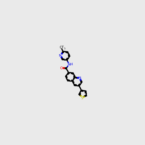 O=C(Nc1ccc(C(F)(F)F)nc1)c1ccc2cc(-c3ccsc3)cnc2c1